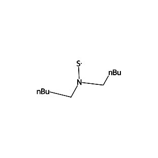 CCCCCN([S])CCCCC